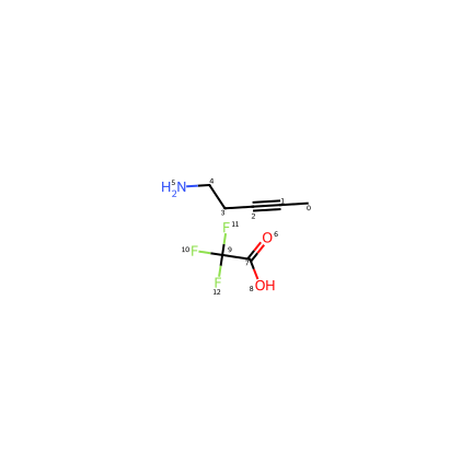 CC#CCCN.O=C(O)C(F)(F)F